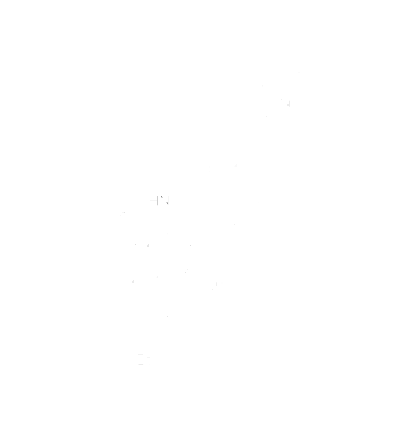 CCc1ccc2c(c1)C(=O)c1c([nH]c3cc(C#C[Si](C)(C)C)ccc13)C2(C)C